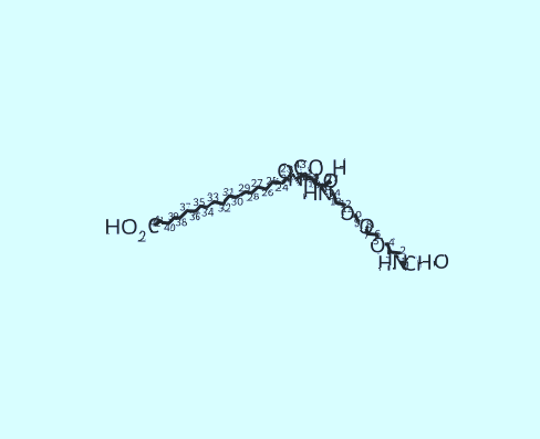 O=CNCCCOCCOCCOCCCNC(=O)CC[C@H](NC(=O)CCCCCCCCCCCCCCCCCCC(=O)O)C(=O)O